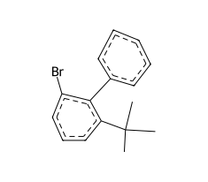 CC(C)(C)c1cccc(Br)c1-c1ccccc1